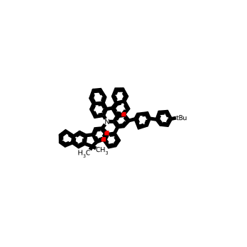 CC(C)(C)c1ccc(-c2ccc(-c3ccc(N(c4ccc5c(c4)-c4cc6ccccc6cc4C5(C)C)c4ccc5ccccc5c4-c4cccc5ccccc45)c(-c4ccccc4)c3)cc2)cc1